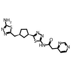 Nc1nnc(C[C@H]2CC[C@@H](c3nnc(NC(=O)Cc4ccncn4)s3)C2)s1